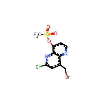 O=S(=O)(Oc1ccnc2c(CBr)cc(Cl)nc12)C(F)(F)F